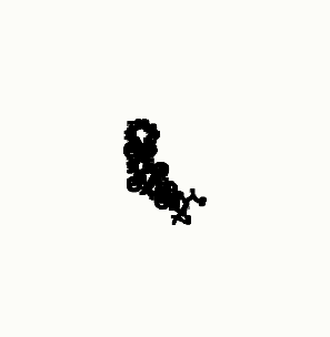 CCCCN(CCCC)S(=O)(=O)c1ccc2c(c1)C(=O)c1cc(S(=O)(=O)N3CCCCCCC3)ccc1C2=O